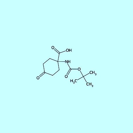 CC(C)(C)OC(=O)NC1(C(=O)O)CCC(=O)CC1